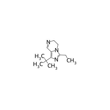 CCc1nc(C(C)(C)C)c2n1CCN=C2